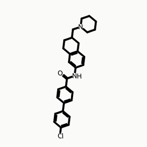 O=C(Nc1ccc2c(c1)CCC(CN1CCCCC1)C2)c1ccc(-c2ccc(Cl)cc2)cc1